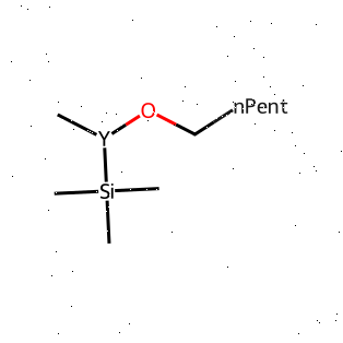 CCCCCC[O][Y]([CH3])[Si](C)(C)C